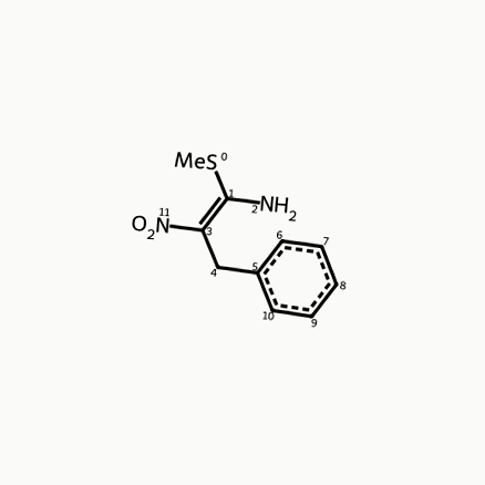 CSC(N)=C(Cc1ccccc1)[N+](=O)[O-]